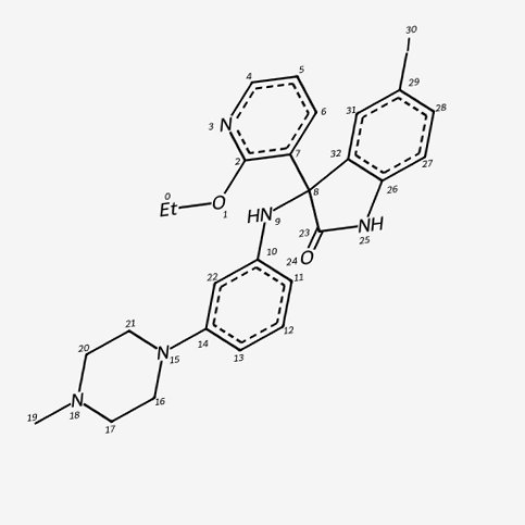 CCOc1ncccc1C1(Nc2cccc(N3CCN(C)CC3)c2)C(=O)Nc2ccc(I)cc21